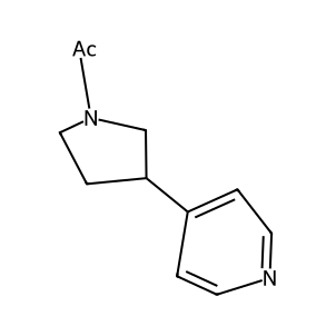 [CH2]C(=O)N1CCC(c2ccncc2)C1